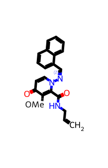 C=CCNC(=O)c1c(OC)c(=O)ccn1/N=C\c1cccc2ccccc12